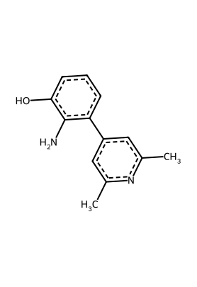 Cc1cc(-c2cccc(O)c2N)cc(C)n1